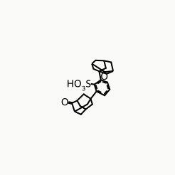 O=C1C2CC3CC1CC(c1cccc(C45CC6CC(C4)C(=O)C(C6)C5)c1S(=O)(=O)O)(C3)C2